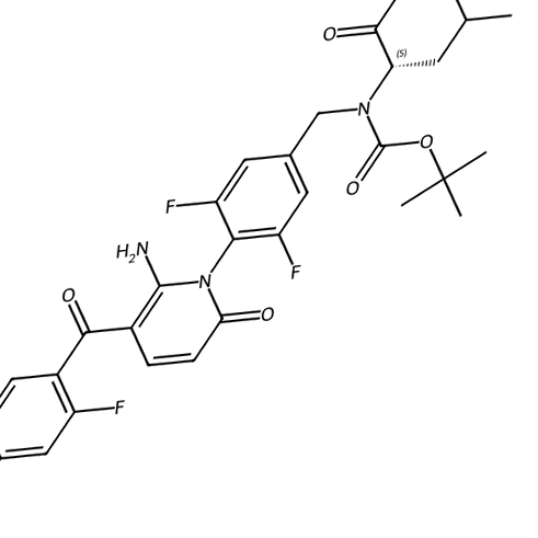 CC(C)C[C@@H](C(=O)O)N(Cc1cc(F)c(-n2c(N)c(C(=O)c3ccc(F)cc3F)ccc2=O)c(F)c1)C(=O)OC(C)(C)C